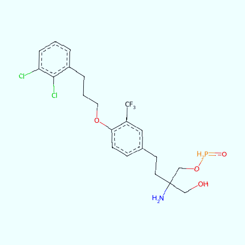 NC(CO)(CCc1ccc(OCCCc2cccc(Cl)c2Cl)c(C(F)(F)F)c1)CO[PH2]=O